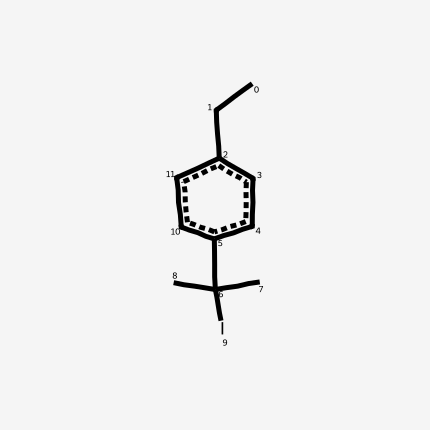 CCc1ccc(C(C)(C)I)cc1